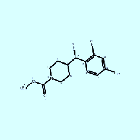 CC(C)(C)OC(=O)N1CCC([C@@H](F)c2ccc(F)cc2F)CC1